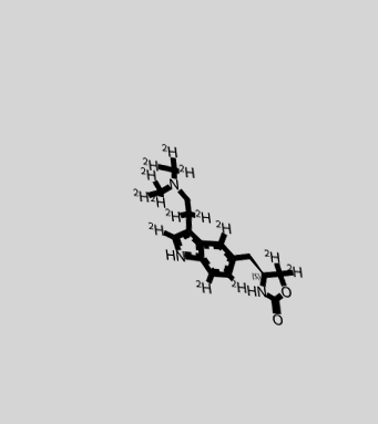 [2H]c1[nH]c2c([2H])c([2H])c(C[C@@H]3NC(=O)OC3([2H])[2H])c([2H])c2c1C([2H])([2H])CN(C([2H])([2H])[2H])C([2H])([2H])[2H]